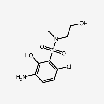 CN(CCO)S(=O)(=O)c1c(Cl)ccc(N)c1O